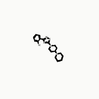 CC(=O)c1ccccc1-c1nsc(N2CCC(N3CCCCC3)CC2)n1